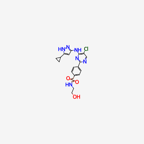 O=S(=O)(NCCO)c1ccc(-c2ncc(Cl)c(Nc3cc(C4CC4)[nH]n3)n2)cc1